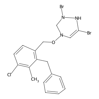 Cc1c(Cl)ccc(CON2C=C(Br)NN(Br)C2)c1Cc1ccccc1